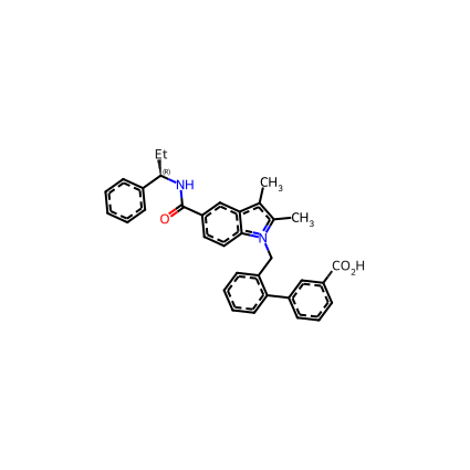 CC[C@@H](NC(=O)c1ccc2c(c1)c(C)c(C)n2Cc1ccccc1-c1cccc(C(=O)O)c1)c1ccccc1